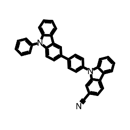 N#Cc1ccc2c3ccccc3n(-c3ccc(-c4ccc5c(c4)c4ccccc4n5-c4ccccc4)cc3)c2c1